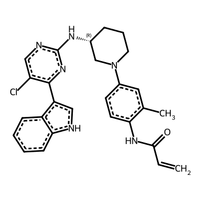 C=CC(=O)Nc1ccc(N2CCC[C@@H](Nc3ncc(Cl)c(-c4c[nH]c5ccccc45)n3)C2)cc1C